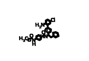 COC(=O)Nc1ccc(C(=O)NC(Cc2ccccc2)c2ccc(-c3cc(Cl)ccc3N)cn2)cc1